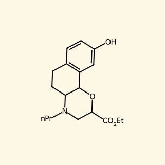 CCCN1CC(C(=O)OCC)OC2c3cc(O)ccc3CCC21